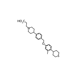 Cc1cc(OCc2ccc(C3CCN(CCC(=O)O)CC3)cc2)ccc1C1CCSCC1